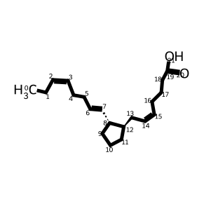 CC/C=C\CC/C=C/[C@H]1CCC[C@@H]1C/C=C\CCCC(=O)O